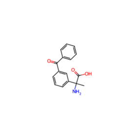 CC(N)(C(=O)O)c1cccc(C(=O)c2ccccc2)c1